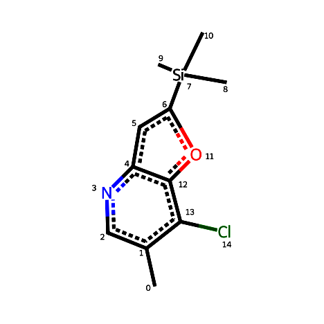 Cc1cnc2cc([Si](C)(C)C)oc2c1Cl